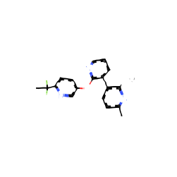 COc1nc(C)ccc1-c1cccnc1Oc1ccc(C(C)(F)F)nc1